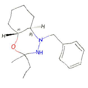 CCC1(C)NN(Cc2ccccc2)[C@@H]2CCCC[C@H]2O1